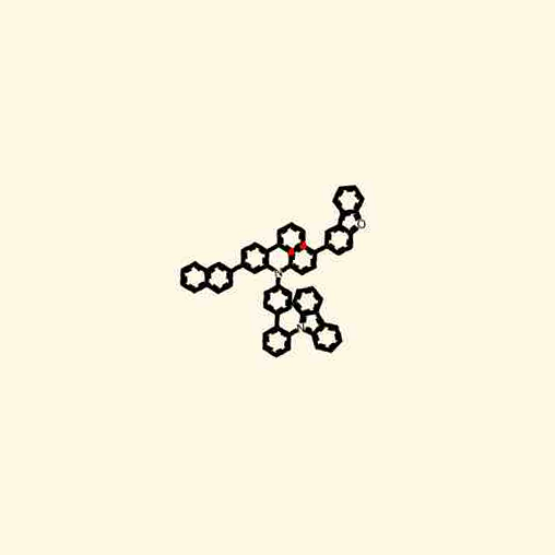 c1ccc(-c2ccc(-c3ccc4ccccc4c3)cc2N(c2ccc(-c3ccc4oc5ccccc5c4c3)cc2)c2ccc(-c3ccccc3-n3c4ccccc4c4ccccc43)cc2)cc1